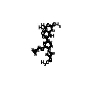 COC1CN(c2ccc(C(=O)NC(CC(C)C)C(N)=O)nc2OCC2CC2)C1